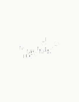 CC1(C(=O)NCC#N)COC(c2nc(-c3ccc(F)cc3)c(-c3ccnc(OCc4ccccc4)n3)[nH]2)OC1